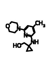 Cc1cc(NC2(CO)CC2)nc(N2CCOCC2)c1